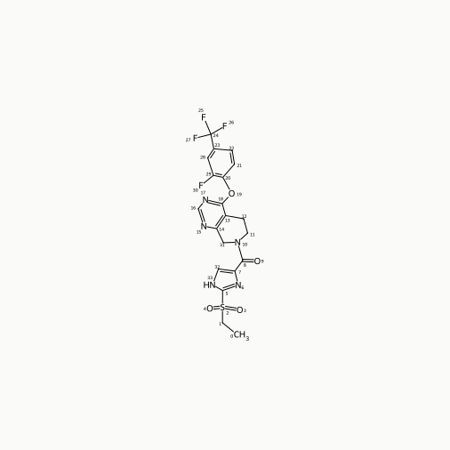 CCS(=O)(=O)c1nc(C(=O)N2CCc3c(ncnc3Oc3ccc(C(F)(F)F)cc3F)C2)c[nH]1